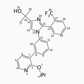 CC(C)Oc1ncccc1-c1cccc(-n2cc(C(C)(C)O)nc2-c2ccccc2C(F)(F)F)c1